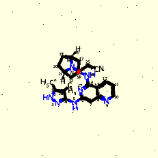 Cc1[nH]nc(Nc2cc3ncccc3c(N[C@@H]3C[C@H]4CC[C@@H](C3)N4CCC#N)n2)c1C